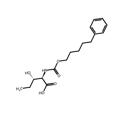 CC[C@H](O)[C@@H](NC(=O)OCCCCCc1ccccc1)C(=O)O